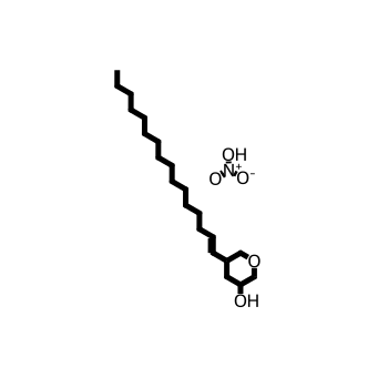 CCCCCCCCCCCCCCC=CC1COCC(O)C1.O=[N+]([O-])O